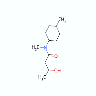 CC(O)CC(=O)N(C)C1CCC(C)CC1